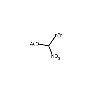 CCCC(OC(C)=O)[N+](=O)[O-]